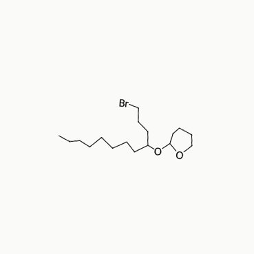 CCCCCCCCC(CCCBr)OC1CCCCO1